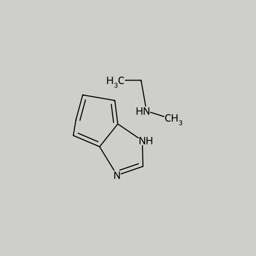 CCNC.c1ccc2[nH]cnc2c1